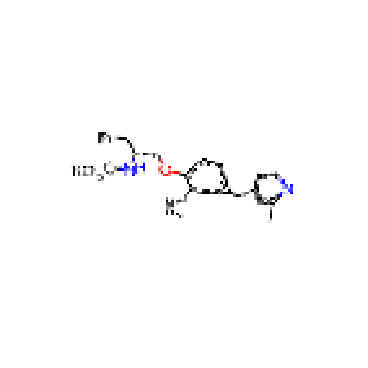 Cc1cc(-c2ccc(OCC(CC(C)C)NC(=O)O)c(C#N)c2)ccn1